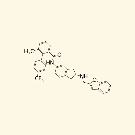 Cc1cccc(C(=O)Nc2ccc3c(c2)CC(NCc2cc4ccccc4o2)C3)c1-c1ccc(C(F)(F)F)cc1